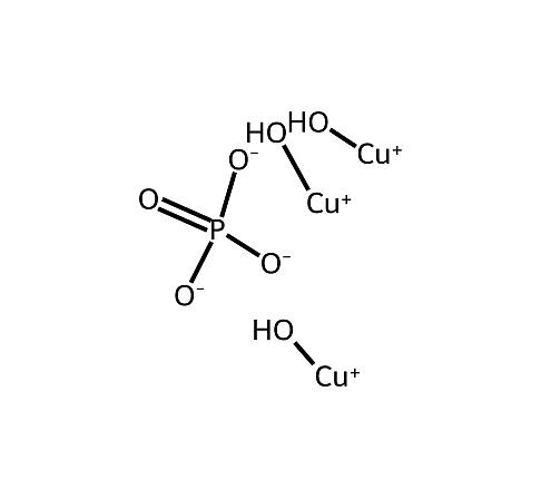 O=P([O-])([O-])[O-].[OH][Cu+].[OH][Cu+].[OH][Cu+]